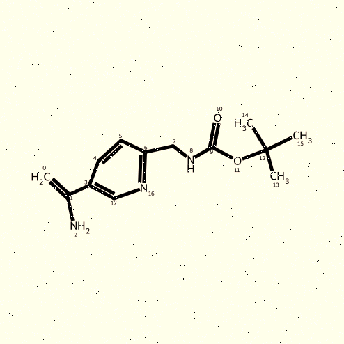 C=C(N)c1ccc(CNC(=O)OC(C)(C)C)nc1